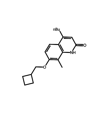 CCCCc1cc(=O)[nH]c2c(C)c(OCC3CCC3)ccc12